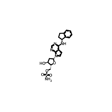 NS(=O)(=O)OC[C@H]1O[C@@H](n2ccc3c(N[C@H]4CCc5ccccc54)ncnc32)C[C@@H]1O